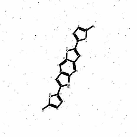 Cc1ccc(-c2cc3cc4sc(-c5ccc(C)s5)cc4cc3s2)s1